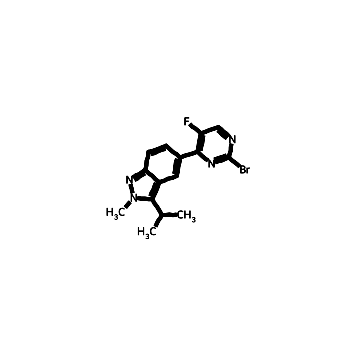 CC(C)c1c2cc(-c3nc(Br)ncc3F)ccc2nn1C